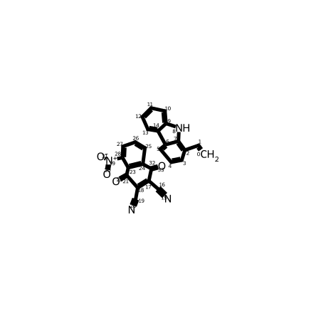 C=Cc1cccc2c1[nH]c1ccccc12.N#CC1=C(C#N)C(=O)c2c(cccc2[N+](=O)[O-])C1=O